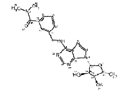 C[C@H]1O[C@@H](n2cnc3c(NCc4cccc(C(=O)N(C)C)c4)ncnc32)[C@H](O)[C@@H]1O